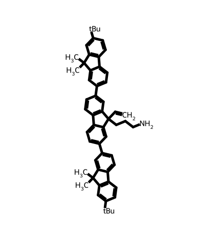 C=CC1(CCCN)c2cc(-c3ccc4c(c3)C(C)(C)c3cc(C(C)(C)C)ccc3-4)ccc2-c2ccc(-c3ccc4c(c3)C(C)(C)c3cc(C(C)(C)C)ccc3-4)cc21